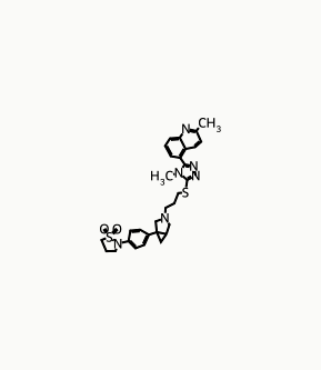 Cc1ccc2c(-c3nnc(SCCCN4CC5CC5(c5ccc(N6CCCS6(=O)=O)cc5)C4)n3C)cccc2n1